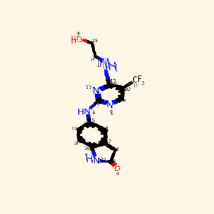 O=C1Cc2cc(Nc3ncc(C(F)(F)F)c(NCCO)n3)ccc2N1